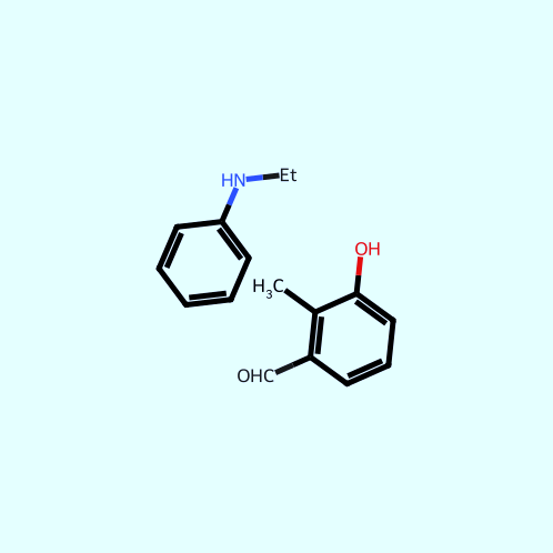 CCNc1ccccc1.Cc1c(O)cccc1C=O